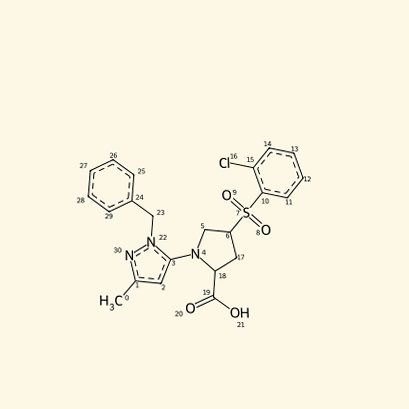 Cc1cc(N2CC(S(=O)(=O)c3ccccc3Cl)CC2C(=O)O)n(Cc2ccccc2)n1